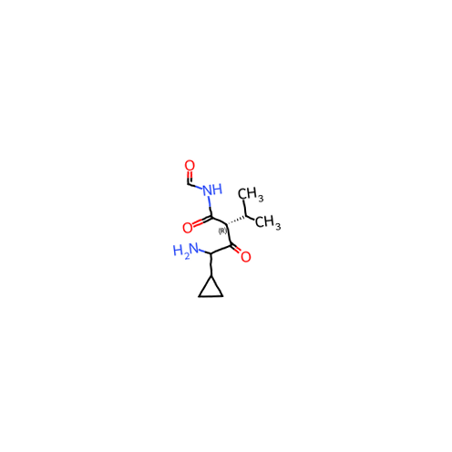 CC(C)[C@@H](C(=O)NC=O)C(=O)C(N)C1CC1